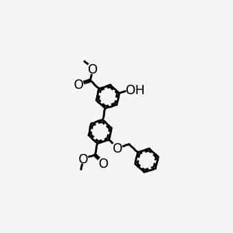 COC(=O)c1cc(O)cc(-c2ccc(C(=O)OC)c(OCc3ccccc3)c2)c1